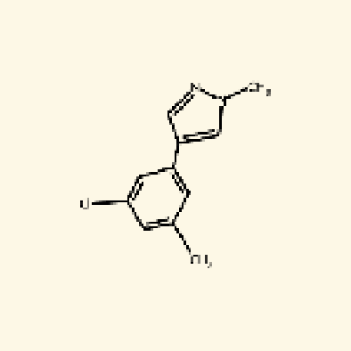 Cc1cc(Cl)cc(-c2cnn(C)c2)c1